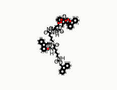 CNC(=O)C(CCCCNC(=O)C(CCCCNC(=O)OCC1c2ccccc2-c2ccccc21)NC(=O)OCC1c2ccccc2-c2ccccc21)NC(=O)C(CCCCNC(=O)OCC1c2ccccc2-c2ccccc21)NC(=O)OCC1c2ccccc2-c2ccccc21